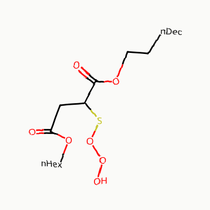 CCCCCCCCCCCCOC(=O)C(CC(=O)OCCCCCC)SOOO